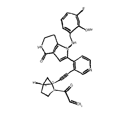 C=CC(=O)N1CC[C@@H]2C[C@@]21C#Cc1cnccc1-c1cc2c(n1Nc1cccc(F)c1OC)CCNC2=O